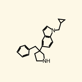 c1ccc(CC2(c3ccc4c(ccn4CC4CC4)c3)CCNC2)cc1